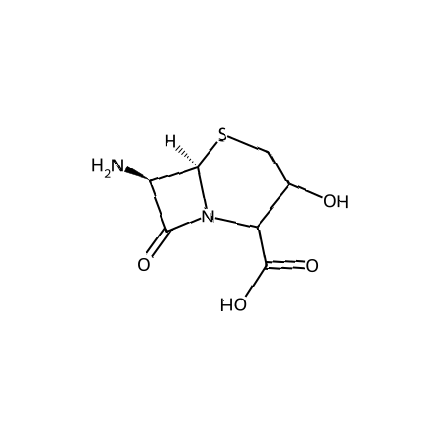 N[C@@H]1C(=O)N2C(C(=O)O)C(O)CS[C@H]12